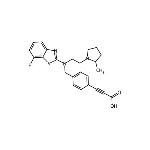 CC1CCCN1CCN(Cc1ccc(C#CC(=O)O)cc1)c1nc2cccc(F)c2s1